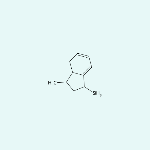 CC1CC([SiH3])C2=CC=CCC21